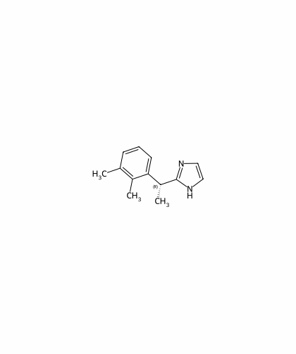 Cc1cccc([C@@H](C)c2ncc[nH]2)c1C